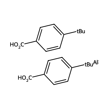 CC(C)(C)c1ccc(C(=O)O)cc1.CC(C)(C)c1ccc(C(=O)O)cc1.[Al]